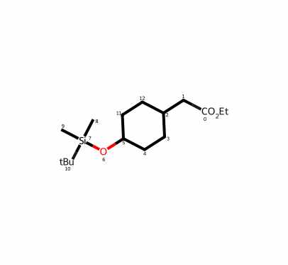 CCOC(=O)CC1CCC(O[Si](C)(C)C(C)(C)C)CC1